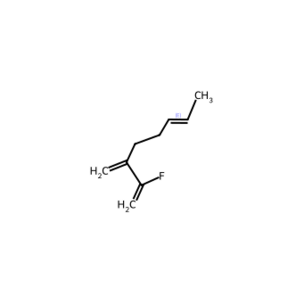 C=C(F)C(=C)CC/C=C/C